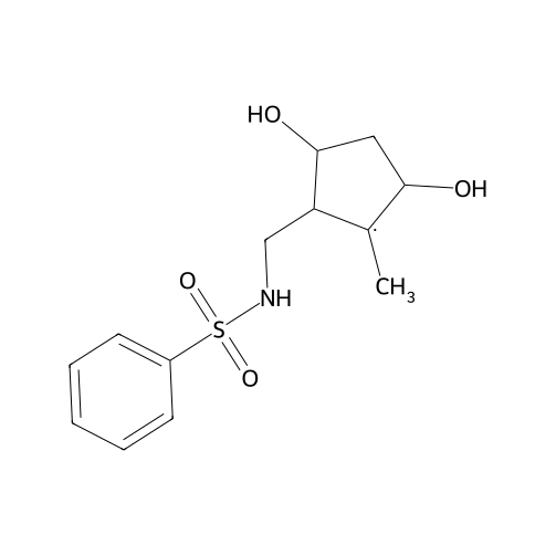 C[C]1C(O)CC(O)C1CNS(=O)(=O)c1ccccc1